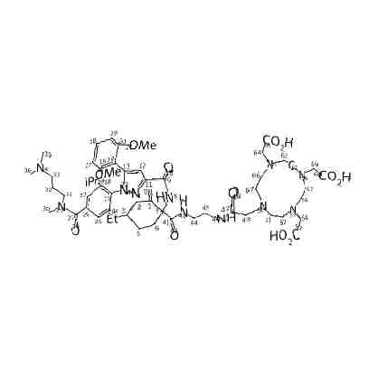 C=C1CC(CC)CCC1(NC(=O)c1cc(-c2c(OC)cccc2OC)n(-c2ccc(C(=O)N(C)CCCN(C)C)cc2C(C)C)n1)C(=O)NCCNC(=O)CN1CCN(CC(=O)O)CCN(CC(=O)O)CCN(CC(=O)O)CC1